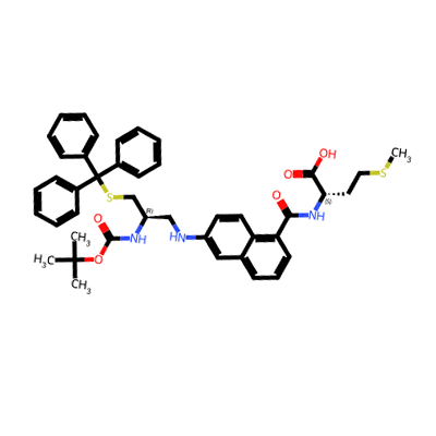 CSCC[C@H](NC(=O)c1cccc2cc(NC[C@H](CSC(c3ccccc3)(c3ccccc3)c3ccccc3)NC(=O)OC(C)(C)C)ccc12)C(=O)O